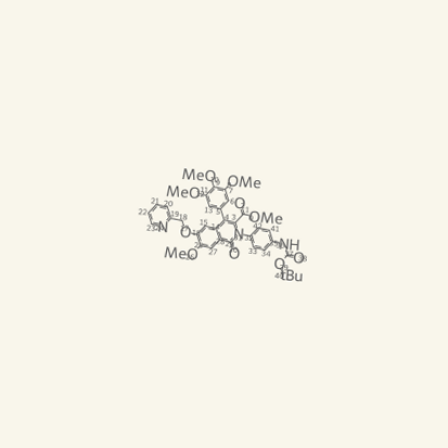 COC(=O)c1c(-c2cc(OC)c(OC)c(OC)c2)c2cc(OCc3ccccn3)c(OC)cc2c(=O)n1-c1ccc(NC(=O)OC(C)(C)C)cc1